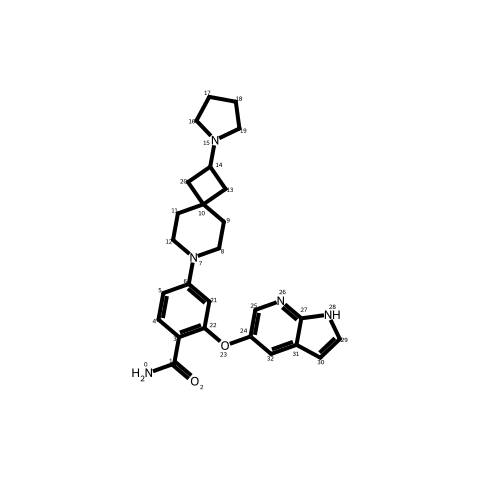 NC(=O)c1ccc(N2CCC3(CC2)CC(N2CCCC2)C3)cc1Oc1cnc2[nH]ccc2c1